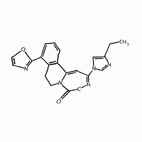 CCc1cn(C2=NCC(=O)N3CCc4c(cccc4-c4ncco4)C3=C2)cn1